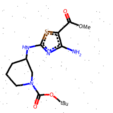 COC(=O)c1sc(NC2CCCN(C(=O)OC(C)(C)C)C2)nc1N